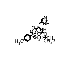 Cc1ccc(S(=O)(=O)OC(=O)[C@H](Cc2cnc[nH]2)NC(=O)OC(C)(C)C)cc1